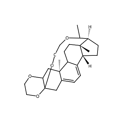 CC1OCCOC23CC4=CC=C5C(CC[C@@]6(C)[C@@H]5CC[C@H]16)[C@]4(C)CC2OCCO3